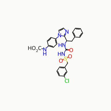 O=C(O)Nc1ccc(-n2ccnc2C(Cc2ccccc2)NC(=O)NS(=O)(=O)Cc2cccc(Cl)c2)cc1